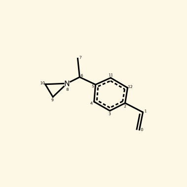 C=Cc1ccc(C(C)N2CC2)cc1